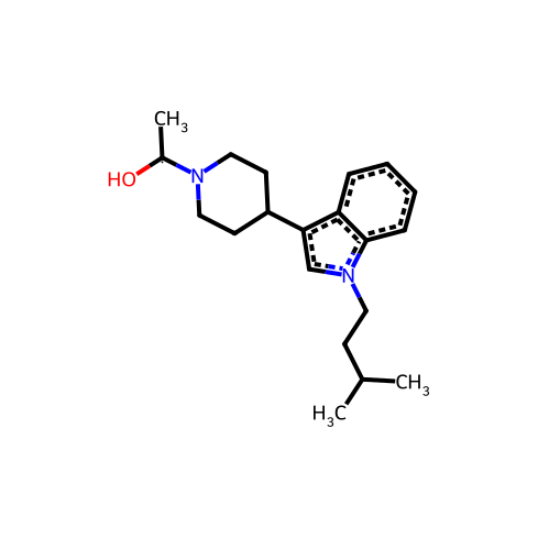 C[C](O)N1CCC(c2cn(CCC(C)C)c3ccccc23)CC1